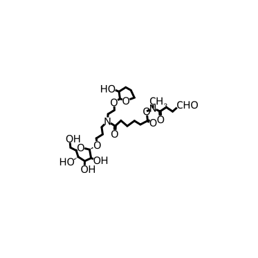 CN(OC(=O)CCCCC(=O)N(CCCO[C@H]1OC(CO)[C@@H](O)C(O)C1O)CCOC1OCCCC1O)C(=O)CCC=O